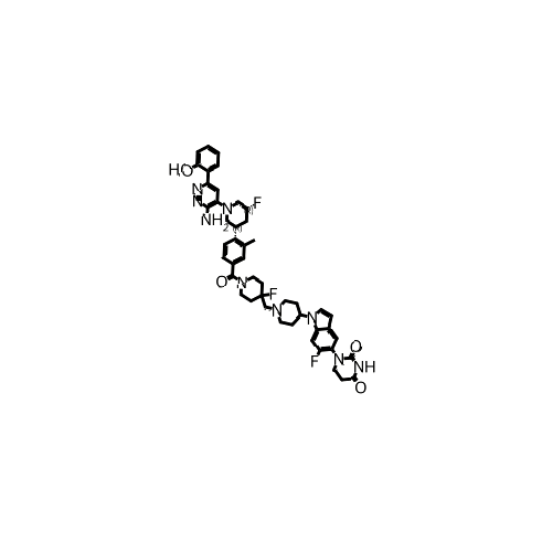 Cc1cc(C(=O)N2CCC(F)(CN3CCC(n4ccc5cc(N6CCC(=O)NC6=O)c(F)cc54)CC3)CC2)ccc1[C@H]1C[C@@H](F)CN(c2cc(-c3ccccc3O)nnc2N)C1